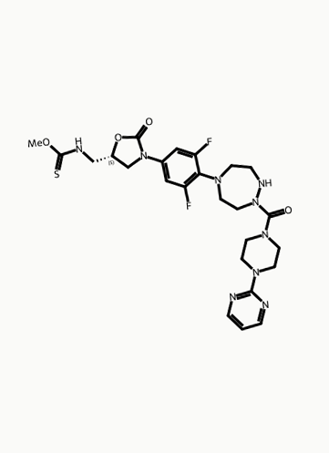 COC(=S)NC[C@H]1CN(c2cc(F)c(N3CCNN(C(=O)N4CCN(c5ncccn5)CC4)CC3)c(F)c2)C(=O)O1